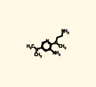 CN(C)c1cnc(N(C)CCN)c(N)c1